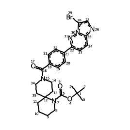 CC(C)(C)OC(=O)N1CCCCC12CCN(C(=O)c1ccc(-c3ccc4ncc(Br)n4n3)cc1)CC2